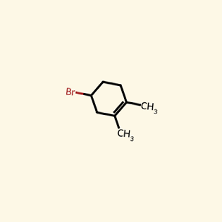 CC1=C(C)CC(Br)CC1